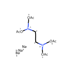 CC(=O)ON(CCN(OC(C)=O)OC(C)=O)OC(C)=O.[Ba].[Na].[Na]